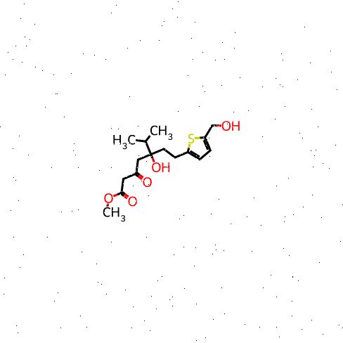 COC(=O)CC(=O)CC(O)(CCc1ccc(CO)s1)C(C)C